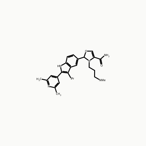 CNCCCN1C(C(N)=O)=COC1c1ccc2[nH]c(-c3cc(C)nc(C)c3)c(C(C)C)c2c1